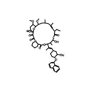 CCC1/C=C(\C)CC(C)CC(OC)C2OC(O)(C(=O)C(=O)N3CCCCC3C(=O)OC(C(C)=CC3CCC(Oc4cccc5ccccc45)C(O)C3)C(C)C(O)CC1=O)C(C)CC2OC